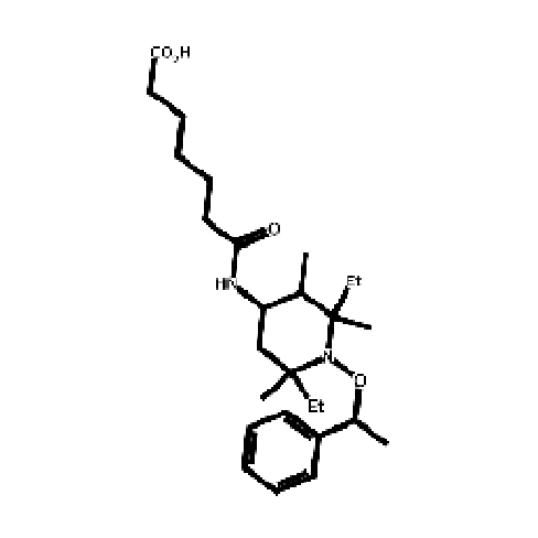 CCC1(C)CC(NC(=O)CCCCCC(=O)O)C(C)C(C)(CC)N1OC(C)c1ccccc1